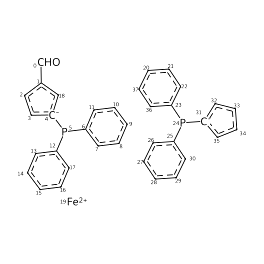 O=Cc1cc[c-](P(c2ccccc2)c2ccccc2)c1.[Fe+2].c1ccc(P(c2ccccc2)[c-]2cccc2)cc1